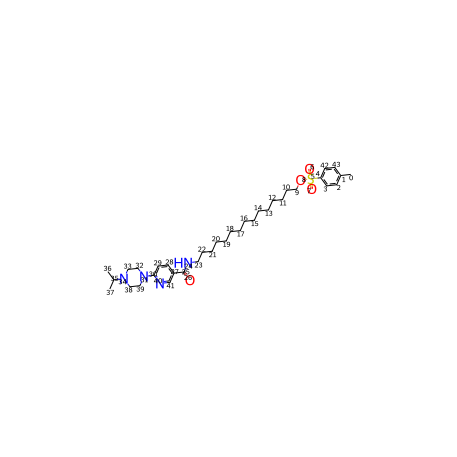 Cc1ccc(S(=O)(=O)OCCCCCCCCCCCCCCCNC(=O)c2ccc(N3CCN(C(C)C)CC3)nc2)cc1